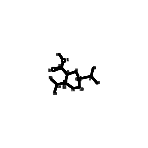 COC(=O)C1CN(C(C)C)CCN1C(C)C